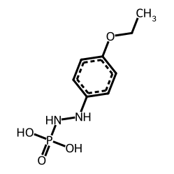 CCOc1ccc(NNP(=O)(O)O)cc1